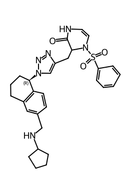 O=C1NC=CN(S(=O)(=O)c2ccccc2)C1Cc1cn([C@@H]2CCCc3cc(CNC4CCCC4)ccc32)nn1